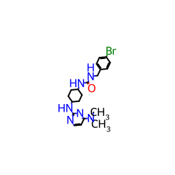 CN(C)c1ccnc(NC2CCC(NC(=O)NCc3ccc(Br)cc3)CC2)n1